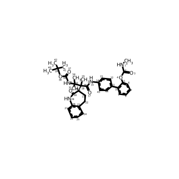 CNC(=O)Oc1ccccc1-c1ccc(NC(=O)C(C)([C@H]2CCc3ccccc3NC2=O)C(C)(C)NC(=O)OC(C)(C)C)cc1